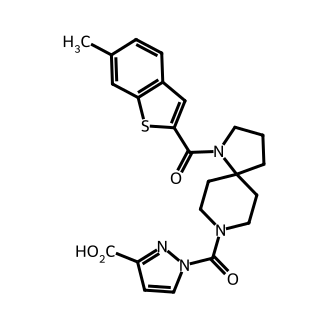 Cc1ccc2cc(C(=O)N3CCCC34CCN(C(=O)n3ccc(C(=O)O)n3)CC4)sc2c1